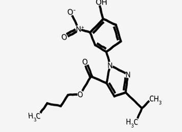 CCCCOC(=O)c1cc(C(C)C)nn1-c1ccc(O)c([N+](=O)[O-])c1